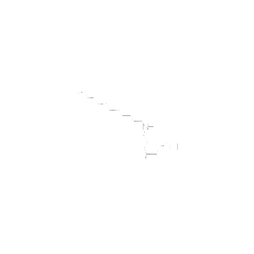 CCCCCCCCCCCCN(C)CCCC(C)C(C)CO